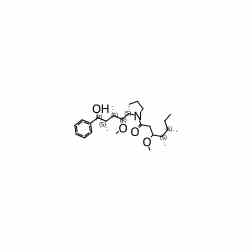 CC[C@H](C)[C@H](C)C(CC(=O)N1CCC[C@H]1[C@H](OC)[C@@H](C)[C@H](C)[C@@H](O)c1ccccc1)OC